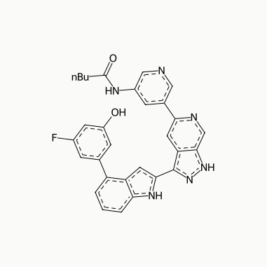 CCCCC(=O)Nc1cncc(-c2cc3c(-c4cc5c(-c6cc(O)cc(F)c6)cccc5[nH]4)n[nH]c3cn2)c1